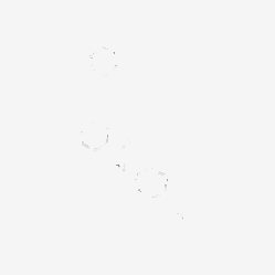 Cc1ccc(COc2cccc(C(=O)Nc3ccc(CN4CCCCC4)cc3)c2)cc1